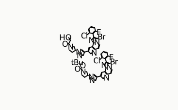 CC(C)(C)OC(=O)N1CC[C@H](n2cc(-c3cnc4ccn5c(Br)c(-c6c(F)cccc6Cl)nc5c4c3)cn2)C1.O=C(CO)N1CC[C@H](n2cc(-c3cnc4ccn5c(Br)c(-c6c(F)cccc6Cl)nc5c4c3)cn2)C1